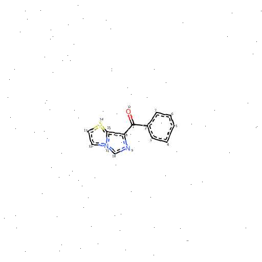 O=C(c1ccccc1)c1ncn2ccsc12